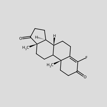 C[C@]12CCC(=O)C(F)=C1CC[C@@H]1C2CC[C@]2(C)C(=O)CC[C@@H]12